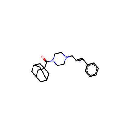 O=C(N1CCN(C/C=C/c2ccccc2)CC1)C12CC3CC(CC(C3)C1)C2